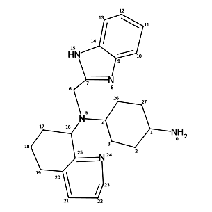 NC1CCC(N(Cc2nc3ccccc3[nH]2)C2CCCc3cccnc32)CC1